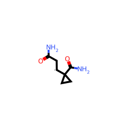 NC(=O)C[CH]C1(C(N)=O)CC1